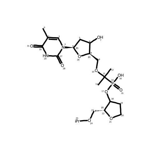 Cc1cn([C@H]2CC(O)[C@@H](COC(C)(C)P(=O)(O)OC3CCO[C@@H]3COC(C)C)O2)c(=O)[nH]c1=O